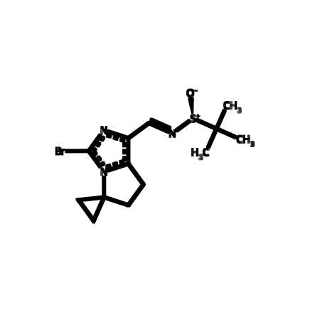 CC(C)(C)[S@+]([O-])N=Cc1nc(Br)n2c1CCC21CC1